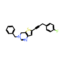 Fc1ccc(CC#Cc2cc3c(s2)CN(Cc2ccccc2)C=N3)cc1